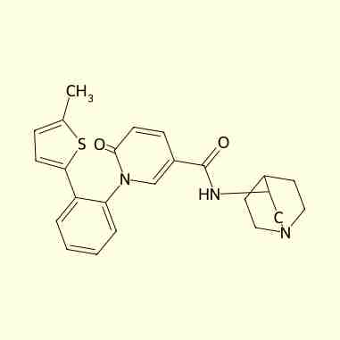 Cc1ccc(-c2ccccc2-n2cc(C(=O)NC3CN4CCC3CC4)ccc2=O)s1